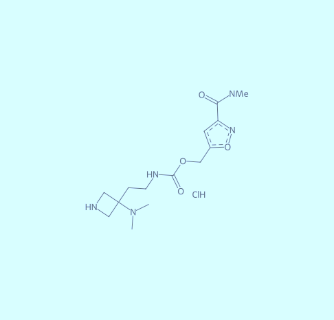 CNC(=O)c1cc(COC(=O)NCCC2(N(C)C)CNC2)on1.Cl